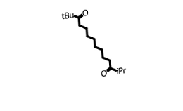 CC(C)C(=O)CCCCCCCCC(=O)C(C)(C)C